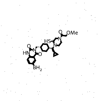 Bc1ccc2[nH]c(=O)n(C[C@H]3CC[C@H](C(=C4CC4)N4CCN(C(=O)COC)C[C@@H]4S)CC3)c(=O)c2c1